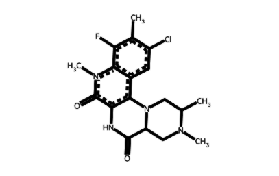 Cc1c(Cl)cc2c3c(c(=O)n(C)c2c1F)NC(=O)C1CN(C)C(C)CN31